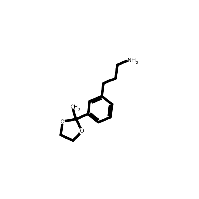 CC1(c2cccc(CCCN)c2)OCCO1